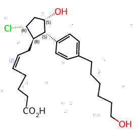 O=C(O)CCC/C=C\C[C@@H]1[C@@H](c2ccc(CCCCCCO)cc2)[C@@H](O)C[C@H]1Cl